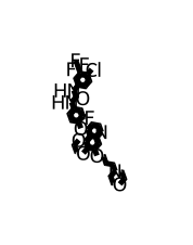 O=C(Nc1ccc(Oc2ccnc3cc(OCCCN4CCOCC4)c4c(c23)OCCO4)c(F)c1)Nc1ccc(Cl)c(C(F)(F)F)c1